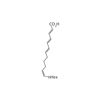 CCCCCC/C=C\CCC/C=C/C=C/C=C/C(=O)O